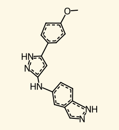 COc1ccc(-c2cc(Nc3ccc4[nH]ncc4c3)n[nH]2)cc1